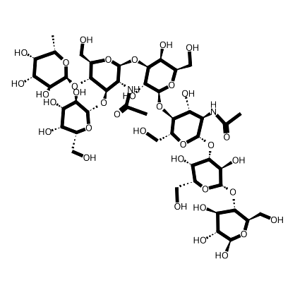 CC(=O)N[C@H]1[C@H](O[C@H]2[C@@H](O)[C@@H](CO)O[C@@H](O[C@H]3[C@H](O)[C@@H](O)[C@H](O)O[C@@H]3CO)[C@@H]2O)O[C@H](CO)[C@@H](O[C@@H]2O[C@H](CO)[C@H](O)[C@H](O[C@@H]3O[C@H](CO)[C@@H](O[C@@H]4O[C@@H](C)[C@@H](O)[C@@H](O)[C@@H]4O)[C@H](O[C@@H]4O[C@H](CO)[C@H](O)[C@H](O)[C@H]4O)[C@H]3NC(C)=O)[C@H]2O)[C@@H]1O